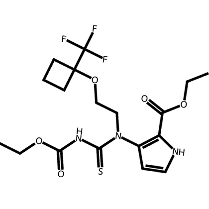 CCOC(=O)NC(=S)N(CCOC1(C(F)(F)F)CCC1)c1cc[nH]c1C(=O)OCC